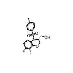 Cc1ccc(S(=O)(=O)N2c3ccc(F)c(F)c3OC[C@H]2CO)cc1